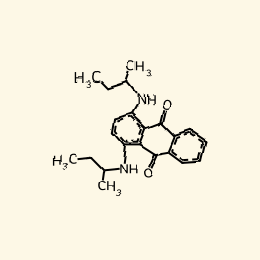 CCC(C)Nc1ccc(NC(C)CC)c2c1C(=O)c1ccccc1C2=O